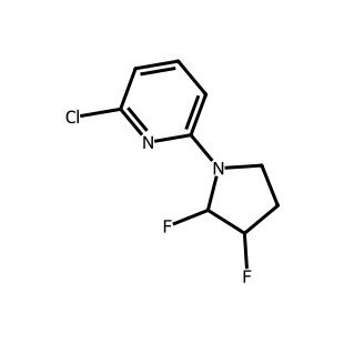 FC1CCN(c2cccc(Cl)n2)C1F